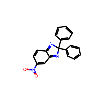 O=[N+]([O-])c1ccc2c(c1)=NC(c1ccccc1)(c1ccccc1)N=2